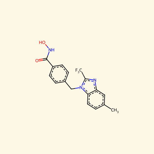 Cc1ccc2c(c1)nc(C(F)(F)F)n2Cc1ccc(C(=O)NO)cc1